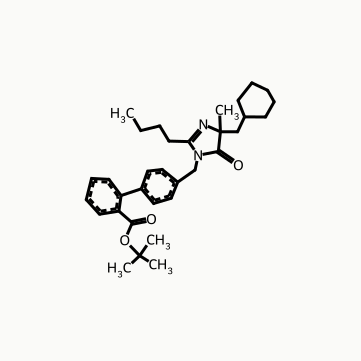 CCCCC1=NC(C)(CC2CCCCC2)C(=O)N1Cc1ccc(-c2ccccc2C(=O)OC(C)(C)C)cc1